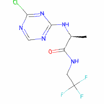 C[C@H](Nc1ncnc(Cl)n1)C(=O)NCC(F)(F)F